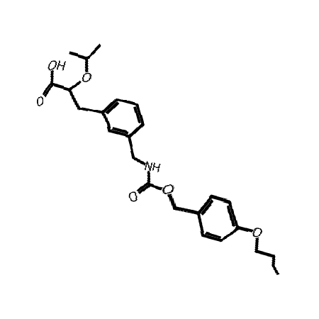 CCCOc1ccc(COC(=O)NCc2cccc(CC(OC(C)C)C(=O)O)c2)cc1